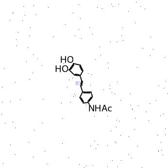 CC(=O)Nc1ccc(/C=C/c2ccc(O)c(O)c2)cc1